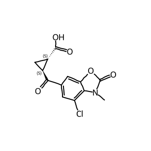 Cn1c(=O)oc2cc(C(=O)[C@H]3C[C@@H]3C(=O)O)cc(Cl)c21